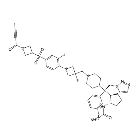 CC#CC(=O)N1CC(S(=O)(=O)c2ccc(N3CC(F)(CN4CCC([C@@](Cn5ccnn5)(c5cccc(F)c5)[C@H]5CCC[C@@H]5NC(=O)OC)CC4)C3)c(F)c2)C1